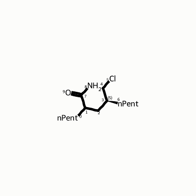 CCCCCC(C[C@@H](CCl)CCCCC)C(N)=O